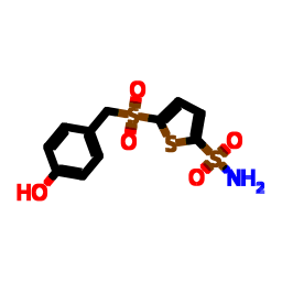 NS(=O)(=O)c1ccc(S(=O)(=O)Cc2ccc(O)cc2)s1